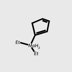 C[CH2][MoH2]([CH2]C)[C]1=CC=CC1